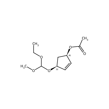 CCOC(OC)O[C@@H]1C=C[C@H](OC(C)=O)C1